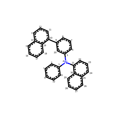 c1ccc(N(c2cccc(-c3cccc4ccccc34)c2)c2cccc3ccccc23)cc1